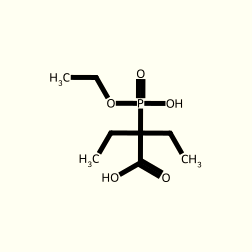 CCOP(=O)(O)C(CC)(CC)C(=O)O